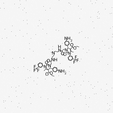 CCOC(=O)C1=C(C)N(c2cccc(C(F)(F)F)c2)C(=O)N(CC(=O)NCCN(C)CCNC(=O)CN2C(=O)N(c3cccc(C(F)(F)F)c3)C(C)=C(C(=O)OCC)C2c2ccc(N)cc2)C1c1ccc(N)cc1